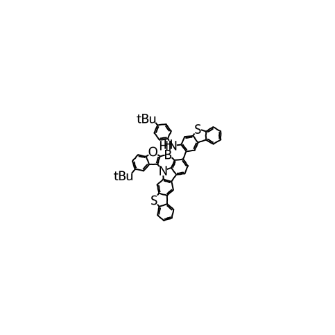 CC(C)(C)c1ccc(Nc2cc3sc4ccccc4c3cc2-c2ccc3c4cc5c(cc4n4c3c2Bc2oc3ccc(C(C)(C)C)cc3c2-4)sc2ccccc25)cc1